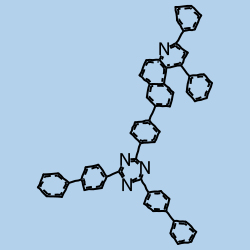 c1ccc(-c2ccc(-c3nc(-c4ccc(-c5ccccc5)cc4)nc(-c4ccc(-c5ccc6c(ccc7nc(-c8ccccc8)cc(-c8ccccc8)c76)c5)cc4)n3)cc2)cc1